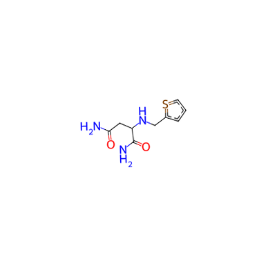 NC(=O)CC(NCc1cccs1)C(N)=O